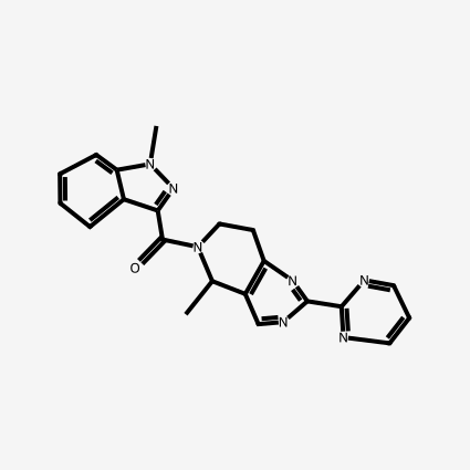 CC1c2cnc(-c3ncccn3)nc2CCN1C(=O)c1nn(C)c2ccccc12